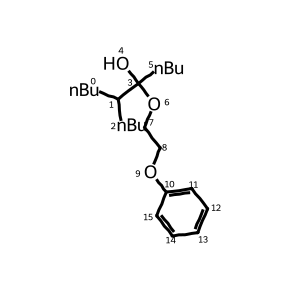 CCCCC(CCCC)C(O)(CCCC)OCCOc1ccccc1